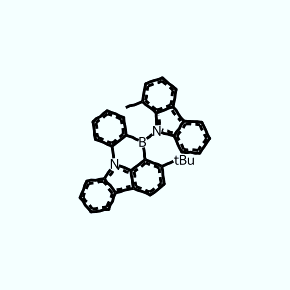 Cc1cccc2c3ccccc3n(B3c4ccccc4-n4c5ccccc5c5ccc(C(C)(C)C)c3c54)c12